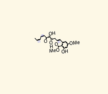 C/C=C\C=C/C(=O)[C@@H](O)[C@@H](O)C/C=C/c1cc(OC)cc(O)c1C(=O)OC